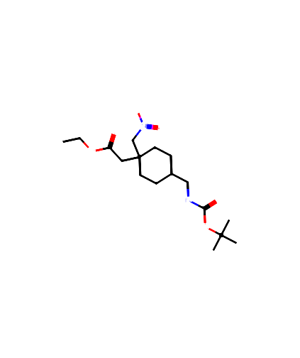 CCOC(=O)CC1(C[N+](=O)[O-])CCC(CNC(=O)OC(C)(C)C)CC1